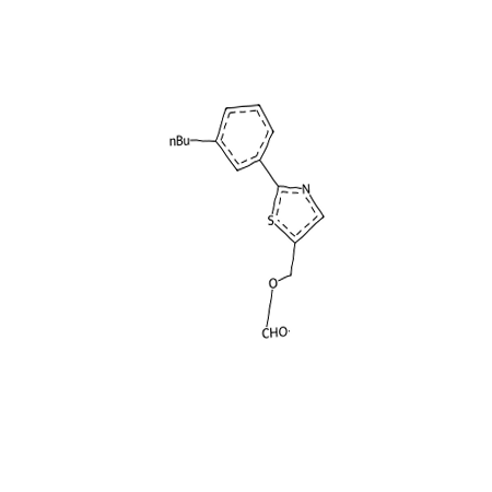 CCCCc1cccc(-c2ncc(CO[C]=O)s2)c1